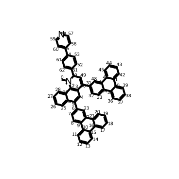 CN1c2c(cc(-c3ccc4c5ccccc5c5ccccc5c4c3)c3ccccc23)C(c2ccc3c4ccccc4c4ccccc4c3c2)=CC1c1ccc(-c2ccncc2)cc1